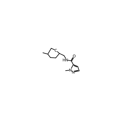 CC1CCC(CNC(=O)c2ccnn2C)CC1